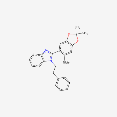 CNc1cc2c(cc1-c1nc3ccccc3n1CCc1ccccc1)OC(C)(C)O2